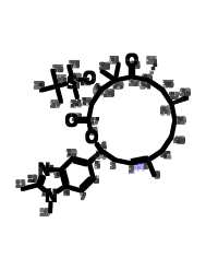 C/C1=C/C[C@@H](c2ccc3c(c2)nc(C)n3C)OC(=O)C[C@H](O[Si](C)(C)C(C)(C)C)C(C)(C)C(=O)[C@H](C)C[C@@H](C)CCC1